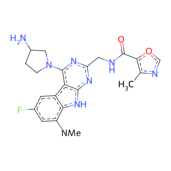 CNc1cc(F)cc2c1[nH]c1nc(CNC(=O)c3ocnc3C)nc(N3CCC(N)C3)c12